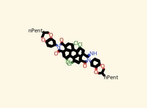 CCCCCC1COc2ccc(N3C(=N)c4cc(Cl)c5c6c(Cl)cc7c8c(cc(Cl)c(c9c(Cl)cc(c4c59)C3=O)c86)C(=O)N(c3ccc4c(c3)OCC(CCCCC)CO4)C7=O)cc2OC1